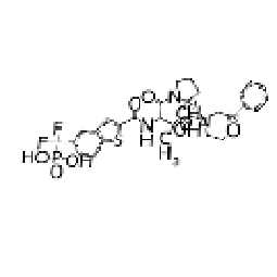 CC(C)(O)C(NC(=O)c1cc2cc(C(F)(F)P(=O)(O)O)ccc2s1)C(=O)N1CCC[C@H]1C(=O)N1CCO[C@@H](c2ccccc2)C1